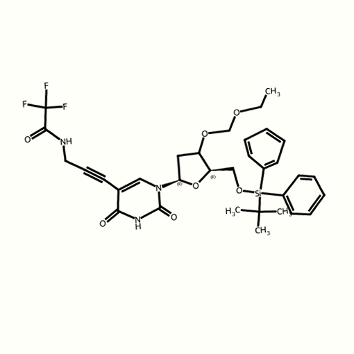 CCOCOC1C[C@H](n2cc(C#CCNC(=O)C(F)(F)F)c(=O)[nH]c2=O)O[C@@H]1CO[Si](c1ccccc1)(c1ccccc1)C(C)(C)C